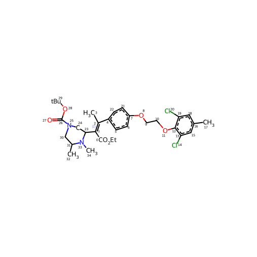 CCOC(=O)/C(=C(/C)c1ccc(OCCOc2c(Cl)cc(C)cc2Cl)cc1)C1CN(C(=O)OC(C)(C)C)CC(C)N1C